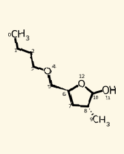 CCCCOC[C@@H]1C[C@@H](C)C(O)O1